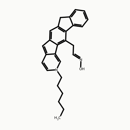 CCCCCCn1ccc2cc3cc4c(c(C[C]=NO)c3c-2c1)-c1ccccc1C4